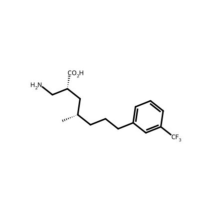 C[C@@H](CCCc1cccc(C(F)(F)F)c1)C[C@H](CN)C(=O)O